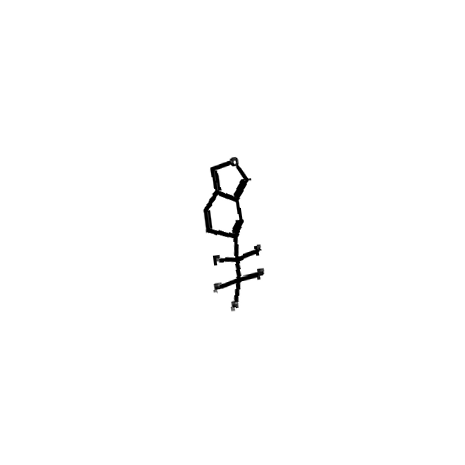 FC(F)(F)C(F)(F)c1ccc2co[c]c2c1